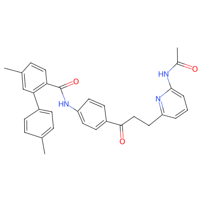 CC(=O)Nc1cccc(CCC(=O)c2ccc(NC(=O)c3ccc(C)cc3-c3ccc(C)cc3)cc2)n1